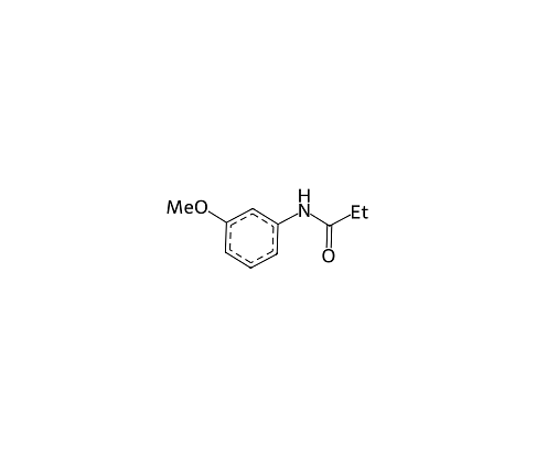 CCC(=O)Nc1cccc(OC)c1